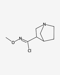 CON=C(Cl)C1CN2CCC1C2